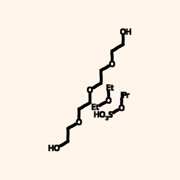 CC(C)OS(=O)(=O)O.CCOCC.OCCOCCOCCOCCO